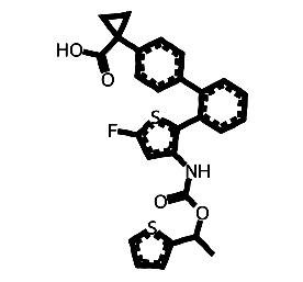 CC(OC(=O)Nc1cc(F)sc1-c1ccccc1-c1ccc(C2(C(=O)O)CC2)cc1)c1cccs1